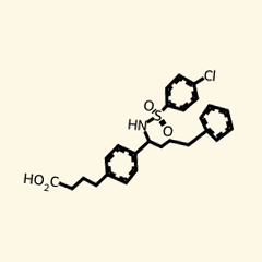 O=C(O)CCCc1ccc(C(CCCc2ccccc2)NS(=O)(=O)c2ccc(Cl)cc2)cc1